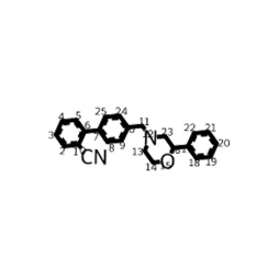 N#Cc1ccccc1-c1ccc(CN2CCOC(c3ccccc3)C2)cc1